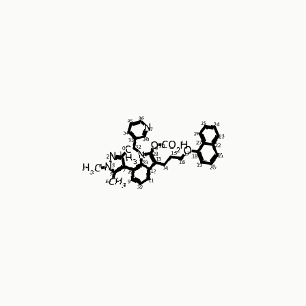 Cc1nn(C)c(C)c1-c1cccc2c(CCCOc3cccc4ccccc34)c(OC(=O)O)n(Cc3cccnc3)c12